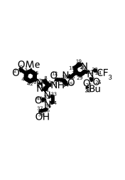 COC(=O)c1ccc(-n2cc(NC(=O)c3coc(-c4ccnc(N(CC(F)(F)F)C(=O)OC(C)(C)C)c4)n3)c(N3CCN(CCO)C3=O)n2)cc1